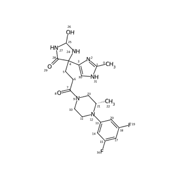 Cc1nc(C2(CCC(=O)N3CCN(c4cc(F)cc(F)c4)[C@@H](C)C3)NC(O)NC2=O)c[nH]1